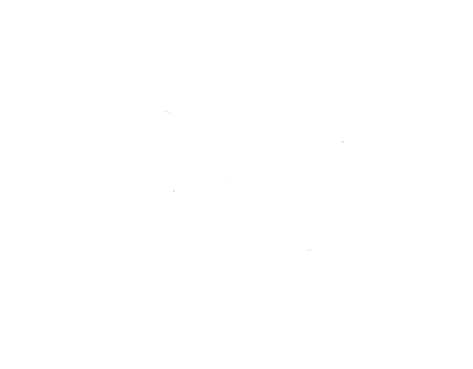 O=C(O)C1CCC(OC(F)(C(=O)C(c2cccnc2)c2ccc3ncoc3c2)N2CCCC2)CC1